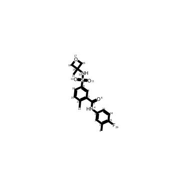 Cc1cc(NC(=O)c2cc(S(=O)(=O)NC3(C)COC3)ccc2C)ccc1F